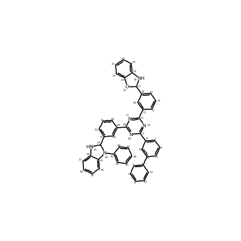 c1ccc(-c2cccc(-c3nc(-c4cccc(C5Nc6ccccc6O5)c4)nc(-c4cccc(C5Nc6ccccc6N5c5ccccc5)c4)n3)c2)cc1